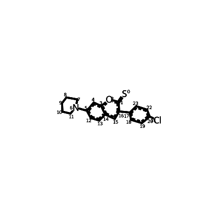 S=c1oc2cc(N3CCCCC3)ccc2cc1-c1ccc(Cl)cc1